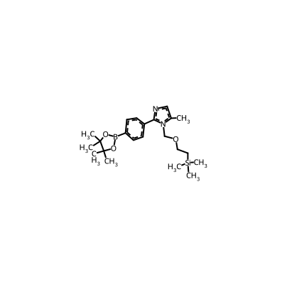 Cc1cnc(-c2ccc(B3OC(C)(C)C(C)(C)O3)cc2)n1COCC[Si](C)(C)C